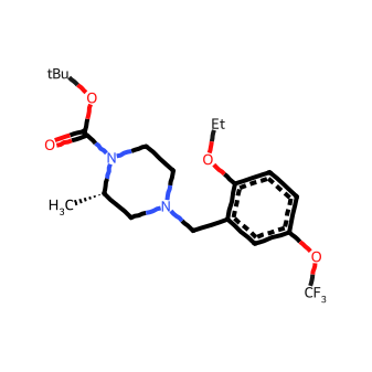 CCOc1ccc(OC(F)(F)F)cc1CN1CCN(C(=O)OC(C)(C)C)[C@@H](C)C1